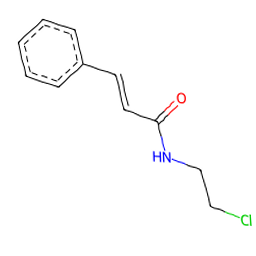 O=C(C=Cc1ccccc1)NCCCl